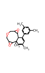 CC1=CC2(C)C3OC3COCC3OC3C2C(c2cc(C)cc(C)c2)=C1